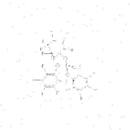 O=P(Oc1c(F)c(F)c(F)c(F)c1F)(Oc1c(F)c(F)c(F)c(F)c1F)OC1(F)C(F)=C(F)C(F)C(F)(F)C1(F)F